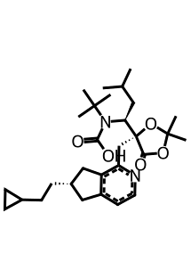 CC(C)C[C@H](N(C(=O)O)C(C)(C)C)[C@@]1(Cc2nccc3c2C[C@@H](CCC2CC2)C3)OC(C)(C)OC1=O